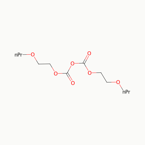 CCCOCCOC(=O)OC(=O)OCCOCCC